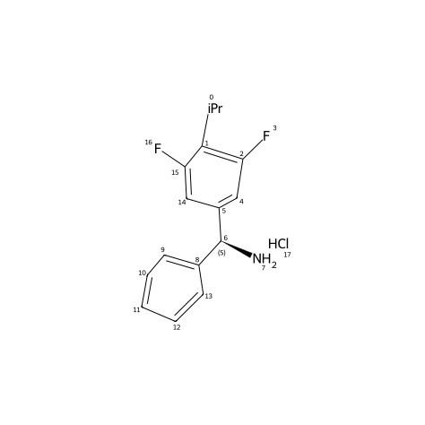 CC(C)c1c(F)cc([C@@H](N)c2ccccc2)cc1F.Cl